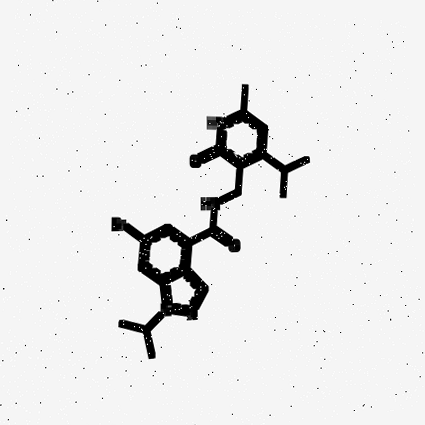 Cc1cc(C(C)C)c(CNC(=O)c2cc(Br)cc3c2cnn3C(C)C)c(=O)[nH]1